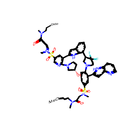 COCCN(C)C(=O)CN(C)S(=O)(=O)c1ccc(N2CC(c3cccc4cc(-c5cc(S(=O)(=O)N(C)CC(=O)N(C)CCOC)cnc5N5CC[C@H](O)C5)[nH]c34)C(F)(F)C2)c(-c2cc3ncccc3[nH]2)c1